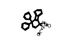 O=C=NC1(N=C=O)C=CC(c2ccccc2)(c2ccccc2)C2=C1c1ccccc12